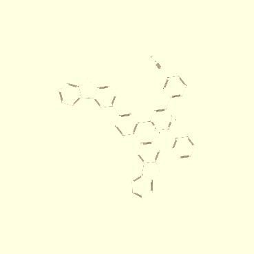 N#Cc1cccc(-c2cc(-c3cc(-c4ccc5sc6ccccc6c5c4)ccc3-c3ccc4sc5ccccc5c4c3)nc(-c3ccccc3)n2)c1